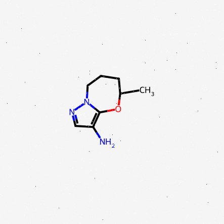 CC1CCCn2ncc(N)c2O1